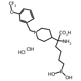 Cl.Cl.NC(CCCCB(O)O)(C(=O)O)C1CCN(Cc2cccc(OC(F)(F)F)c2)CC1